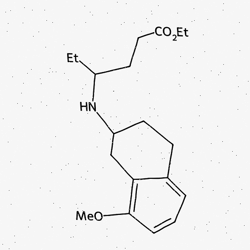 CCOC(=O)CCC(CC)NC1CCc2cccc(OC)c2C1